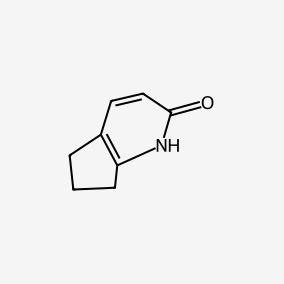 O=c1ccc2c([nH]1)CCC2